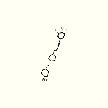 CCC[C@H]1CC[C@H](CC[C@H]2CC[C@H](C=CC#Cc3ccc(C(F)(F)F)c(F)c3)CC2)CC1